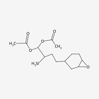 CC(=O)OC(OC(C)=O)C([SiH3])CCC1CCC2OC2C1